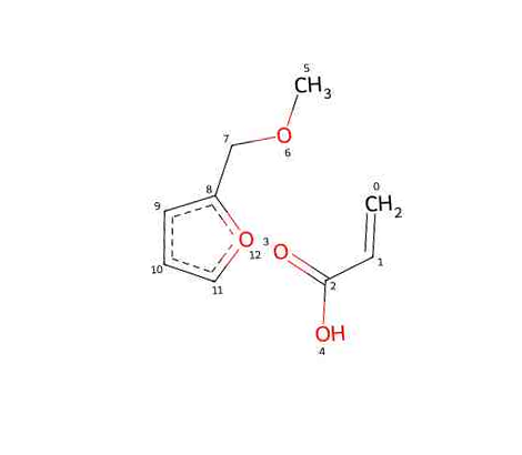 C=CC(=O)O.COCc1ccco1